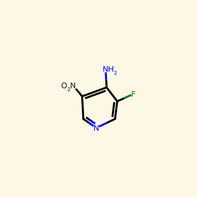 Nc1c(F)cncc1[N+](=O)[O-]